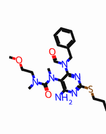 CCCSc1nc(N)c(N(C)C(=O)N(C)CCOC)c(N(C=O)Cc2ccccc2)n1